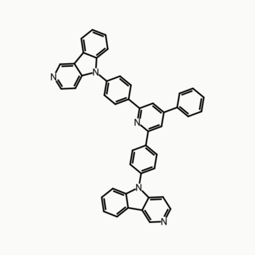 c1ccc(-c2cc(-c3ccc(-n4c5ccccc5c5cnccc54)cc3)nc(-c3ccc(-n4c5ccccc5c5cnccc54)cc3)c2)cc1